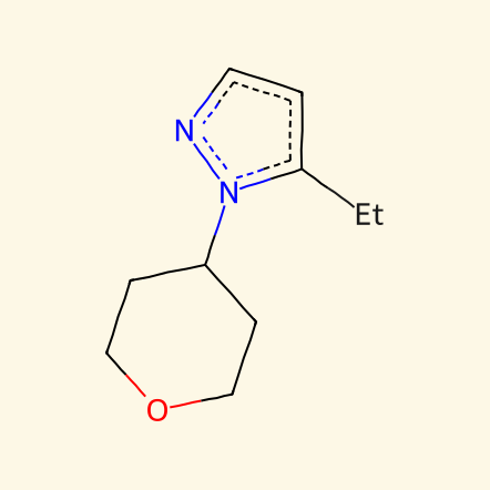 CCc1ccnn1C1CCOCC1